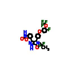 CC(F)(F)CN1C(=O)c2[nH]nc(-c3cccc4[nH]c(=O)oc34)c2C1c1ccc(Oc2ccc(F)c(OC(F)(F)F)c2)cc1